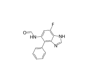 O=CNc1cc(F)c2[nH]cnc2c1-c1ccccc1